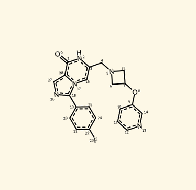 O=c1[nH]c(CN2CC(Oc3cccnc3)C2)cn2c(-c3ccc(F)cc3)ncc12